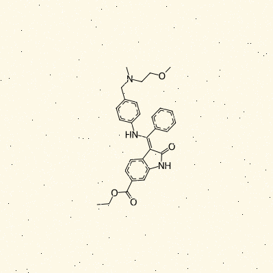 CCOC(=O)c1ccc2c(c1)NC(=O)C2=C(Nc1ccc(CN(C)CCOC)cc1)c1ccccc1